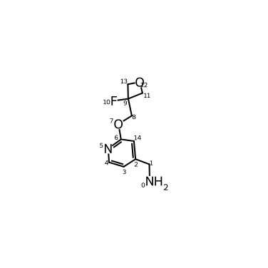 NCc1ccnc(OCC2(F)COC2)c1